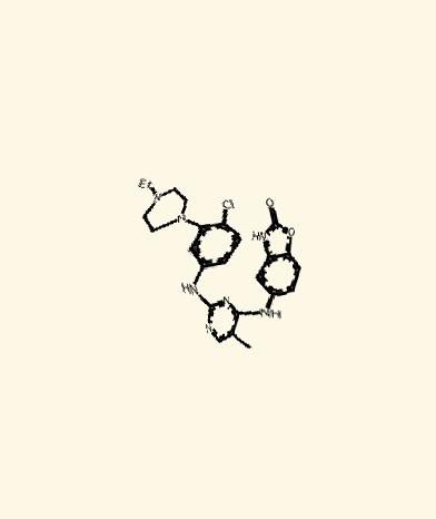 CCN1CCN(c2cc(Nc3ncc(C)c(Nc4ccc5oc(=O)[nH]c5c4)n3)ccc2Cl)CC1